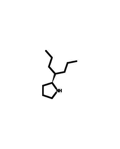 CCCC(CCC)[C@H]1CCCN1